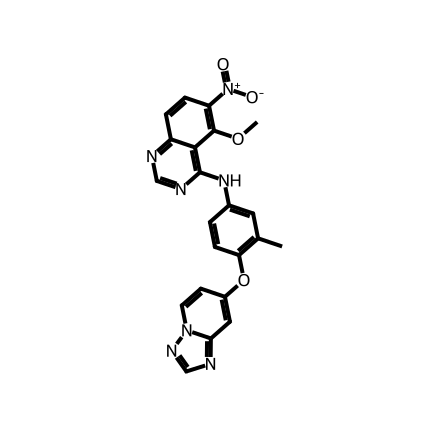 COc1c([N+](=O)[O-])ccc2ncnc(Nc3ccc(Oc4ccn5ncnc5c4)c(C)c3)c12